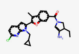 CCC1CN(C(=O)c2ccc3c(C)c(-c4cc5ccc(Cl)nc5n4CC4CC4)oc3c2)C=C1N